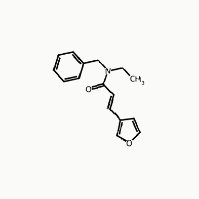 CCN(Cc1ccccc1)C(=O)/C=C/c1ccoc1